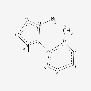 Cc1ccccc1-c1[nH]ccc1Br